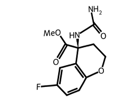 COC(=O)[C@]1(NC(N)=O)CCOc2ccc(F)cc21